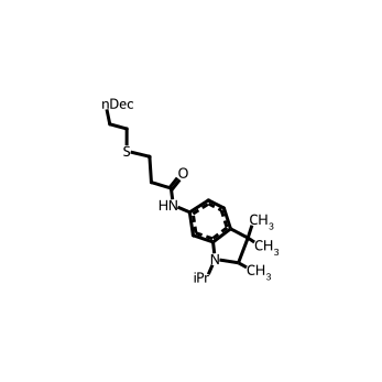 CCCCCCCCCCCCSCCC(=O)Nc1ccc2c(c1)N(C(C)C)C(C)C2(C)C